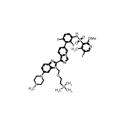 COc1ncc(F)c(C)c1S(=O)(=O)Nc1ccc(F)c(-c2ccc3c(-c4nc5ccc(N6CCN(C)CC6)cc5n4COCC[Si](C)(C)C)ncn3c2)c1F